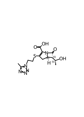 Cc1nnnn1CCSC1=C(C(=O)O)N2C(=O)[C@H]([C@H](C)O)[C@H]2C1